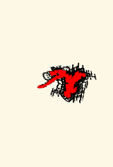 CCCCCCCCCCCCCCCCCC(=O)N[C@@H](CO[C@H](O)C(O)C1(O)C(CO)[C@H]1O[C@@H]1OC(CO)[C@H](O[C@@H]2OC(CO)[C@H](O)C(O[C@@H]3OC(CO)[C@H](O)C(O)C3O)C2NC(C)=O)C(O[C@]2(C=O)CC(O)[C@@H](NC(C)=O)C([C@H](O)[C@H](O)CO)O2)C1O)[C@H](O)/C=C/c1nnc(-c2ccc(Cl)cc2)[nH]1